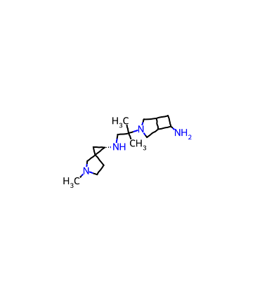 CN1CCC2(C[C@@H]2NCC(C)(C)N2CC3CC(N)C3C2)C1